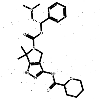 CN(C)C[C@@H](OC(=O)N1Cc2c(NC(=O)C3CCCCO3)n[nH]c2C1(C)C)c1ccccc1